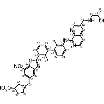 Cc1c(Nc2nccc3cc(CNC[C@H](C)O)cnc23)cccc1-c1cccc(-c2nc3cc(CN4CC[C@@H](C(=O)O)C4)cc(C#N)c3o2)c1C